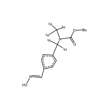 [2H]C([2H])([2H])N(C(=O)OC(C)(C)C)C([2H])([2H])c1ccc(/C=N/O)cc1